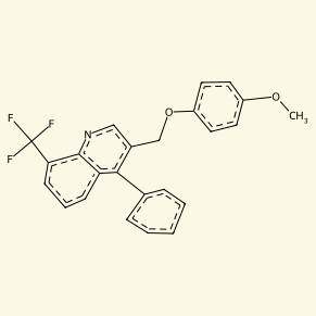 COc1ccc(OCc2cnc3c(C(F)(F)F)cccc3c2-c2ccccc2)cc1